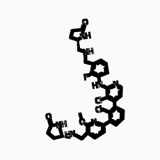 COc1nc(-c2cccc(-c3ccnc(Nc4cccc(CNC[C@H]5CCC(=O)N5)c4F)c3Cl)c2Cl)ccc1CNC[C@@H]1CCC(=O)N1